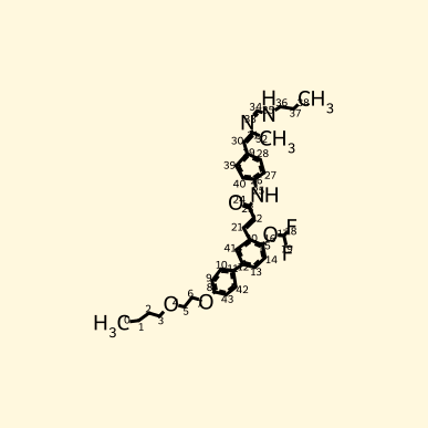 CCCCOCCOc1ccc(-c2ccc(OC(F)F)c(/C=C/C(=O)Nc3ccc(/C=C(C)/N=C\NCCC)cc3)c2)cc1